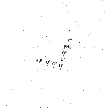 P.P.[Li+].[Li+].[O-2].[O-2].[O-2].[Ti+4]